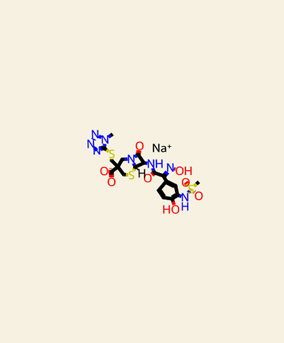 Cn1nnnc1SCC1(C(=O)[O-])CS[C@@H]2C(NC(=O)C(=NO)c3ccc(O)c(NS(C)(=O)=O)c3)C(=O)N2C1.[Na+]